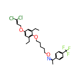 CCc1cc(OCC=C(Cl)Cl)cc(CC)c1OCCCCCON=C(C)c1ccc(C(F)(F)F)cc1